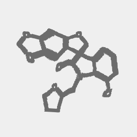 O=C1N(CC2CCCO2)c2c(Cl)cccc2C12COc1cc3c(cc12)OCO3